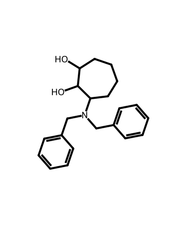 OC1CCCCC(N(Cc2ccccc2)Cc2ccccc2)C1O